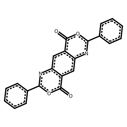 O=c1oc(-c2ccccc2)nc2cc3c(=O)oc(-c4ccccc4)nc3cc12